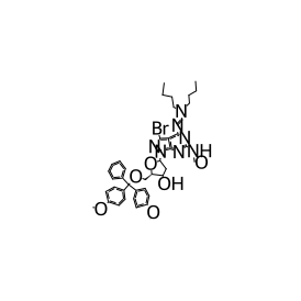 CCCCN(/C=N/c1nc(NC=O)nc2c1c(Br)nn2[C@H]1C[C@H](O)[C@@H](COC(c2ccccc2)(c2ccc(OC)cc2)c2ccc(OC)cc2)O1)CCCC